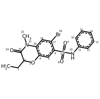 CCC1Oc2cc(S(=O)(=O)Nc3ccccc3)c(Br)cc2N(C)C1=O